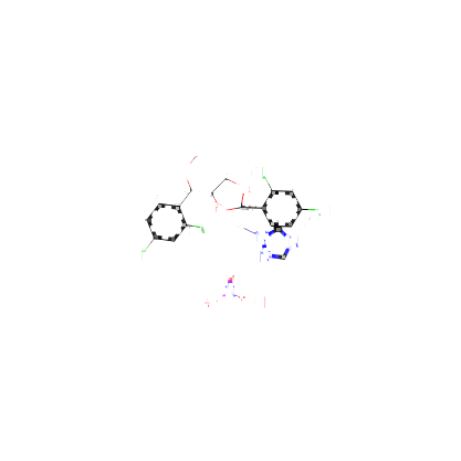 COC(c1ccc(Cl)cc1Cl)[C@@H]1CO[C@@](Cn2cncn2)(c2ccc(Cl)cc2Cl)O1.O=[N+]([O-])O